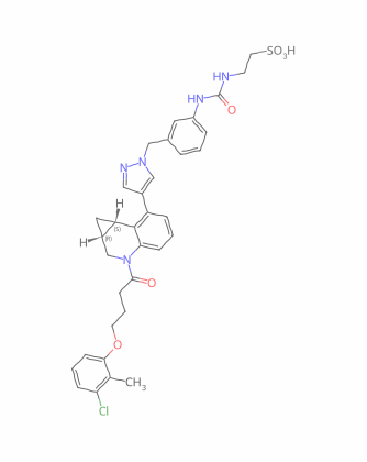 Cc1c(Cl)cccc1OCCCC(=O)N1C[C@@H]2C[C@@H]2c2c(-c3cnn(Cc4cccc(NC(=O)NCCS(=O)(=O)O)c4)c3)cccc21